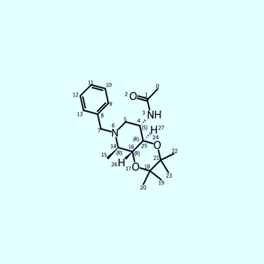 CC(=O)N[C@H]1CN(Cc2ccccc2)[C@H](C)[C@H]2OC(C)(C)C(C)(C)O[C@@H]21